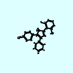 Cc1cccc(Br)c1-c1nc(-c2ccncc2)c(-c2ccc(Cl)cc2)[nH]1